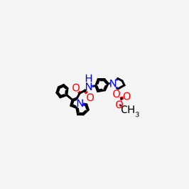 COC(=O)OC1CCCN1c1ccc(NC(=O)C(=O)c2c(-c3ccccc3)cc3ccccn23)cc1